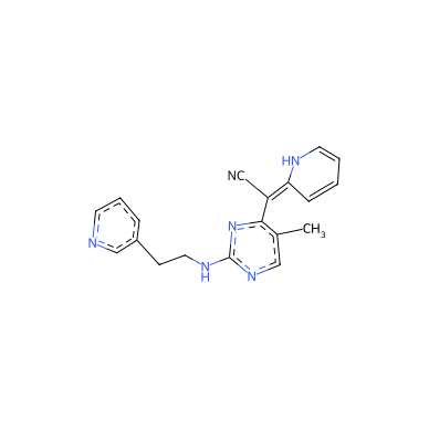 Cc1cnc(NCCc2cccnc2)nc1C(C#N)=C1C=CC=CN1